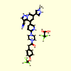 Cn1cc(-c2cc(-c3ccc(N4CCN(C(=O)Cc5ccc(OC(F)(F)F)cc5)CC4)nc3)c3c(C#N)cnn3c2)cn1.O=C(O)C(F)(F)F